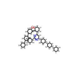 c1ccc(-c2ccc(-c3ccc(-c4cc(-c5cccc6oc7ccc(-c8ccc(-c9ccccc9)cc8)cc7c56)nc(-c5ccccc5)n4)cc3)cc2)cc1